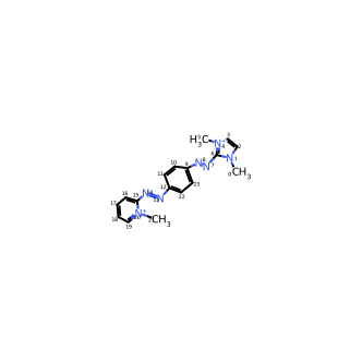 Cn1cc[n+](C)c1N=Nc1ccc(N=Nc2cccc[n+]2C)cc1